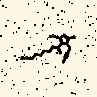 CC#CCn1c(Br)nc(C=O)c1C(=O)OCCOCCOC